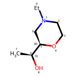 CCN1CCO[C@@H]([C@H](C)O)C1